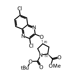 COC(=O)[C@@H]1C[C@@H](Oc2nc3cc(Cl)ccc3nc2Cl)CN1C(=O)OC(C)(C)C